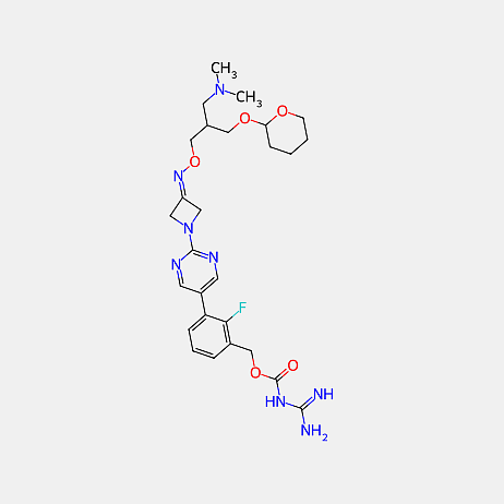 CN(C)CC(CON=C1CN(c2ncc(-c3cccc(COC(=O)NC(=N)N)c3F)cn2)C1)COC1CCCCO1